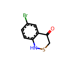 O=C1CSNc2ccc(Br)cc21